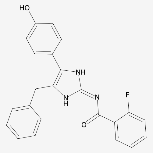 O=C(/N=c1\[nH]c(Cc2ccccc2)c(-c2ccc(O)cc2)[nH]1)c1ccccc1F